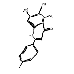 O=c1cc(-c2ccc(F)cc2)oc2cc(O)c(O)c(O)c12